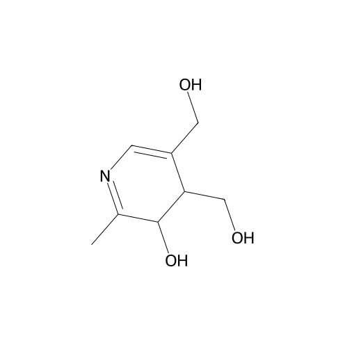 CC1=NC=C(CO)C(CO)C1O